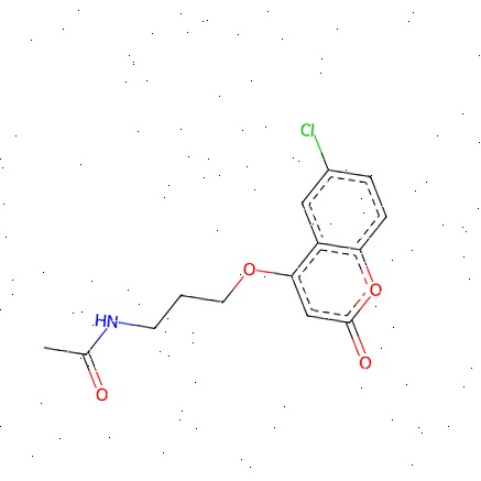 CC(=O)NCCCOc1cc(=O)oc2ccc(Cl)cc12